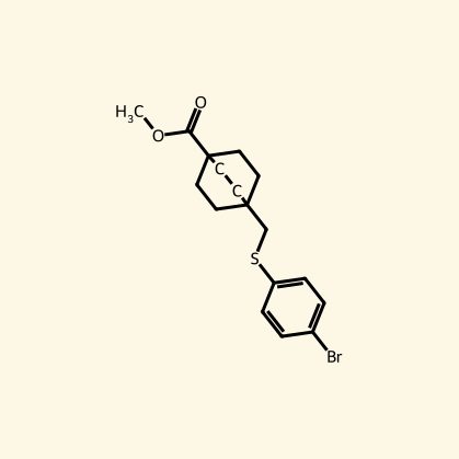 COC(=O)C12CCC(CSc3ccc(Br)cc3)(CC1)CC2